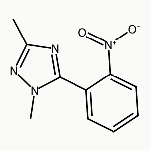 Cc1nc(-c2ccccc2[N+](=O)[O-])n(C)n1